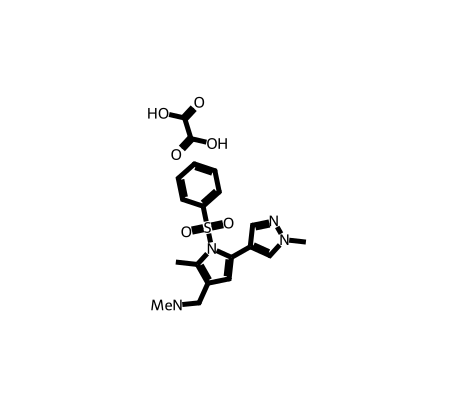 CNCc1cc(-c2cnn(C)c2)n(S(=O)(=O)c2ccccc2)c1C.O=C(O)C(=O)O